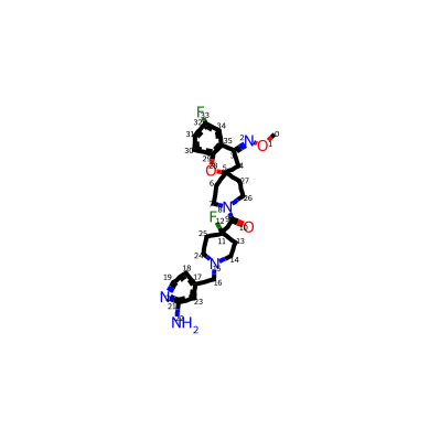 CON=C1CC2(CCN(C(=O)C3(F)CCN(Cc4ccnc(N)c4)CC3)CC2)Oc2ccc(F)cc21